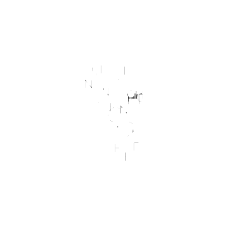 CC(C)C(c1ccc2cc(C(F)(F)F)ccc2n1)N1C[C@H](C)NC[C@H]1C.Cl.Cl